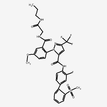 CCCNC(=O)CNC(=O)c1cc(OC)ccc1-n1nc(C(F)(F)F)cc1C(=O)Nc1ccc(-c2ccccc2S(C)(=O)=O)cc1F